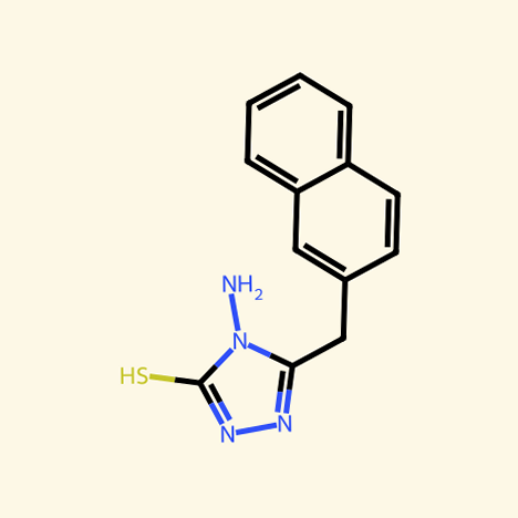 Nn1c(S)nnc1Cc1ccc2ccccc2c1